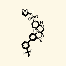 COc1cc(-c2cccc(C(F)(F)F)c2)ccc1N1C(=O)CO[C@H]2CN(S(=O)(=O)Nc3ccon3)CC[C@@H]21